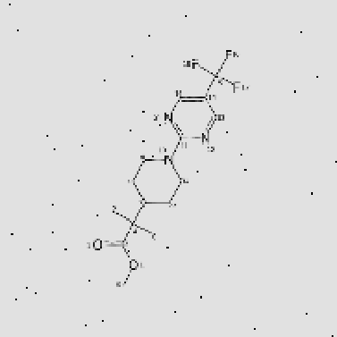 COC(=O)C(C)(C)C1CCN(c2ncc(C(F)(F)F)cn2)CC1